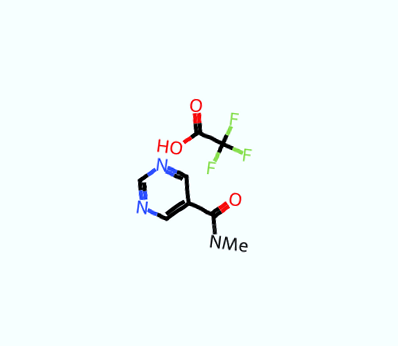 CNC(=O)c1cncnc1.O=C(O)C(F)(F)F